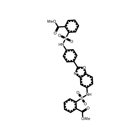 COC(=O)c1ccccc1S(=O)(=O)Nc1ccc(-c2nc3cc(NS(=O)(=O)c4ccccc4C(=O)OC)ccc3o2)cc1